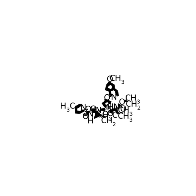 C=C[C@@H]1C[C@]1(NC(=O)[C@@H]1C[C@@H](Oc2nccc3cc(OC)ccc23)CN1C(=O)[C@@H](NC(=O)OC(=C)C)C(C)(C)C)C(=O)NS(=O)(=O)c1ccc(C)cn1